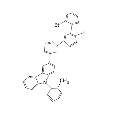 CCc1ccccc1-c1cc(-c2cccc(-c3ccc4c(c3)c3ccccc3n4C3C=CC=CC3C)c2)ccc1I